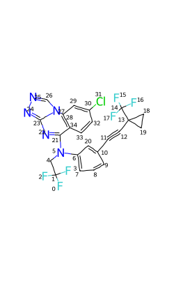 FC(F)(F)CN(c1cccc(C#CC2(C(F)(F)F)CC2)c1)c1nc2nncn2c2cc(Cl)ccc12